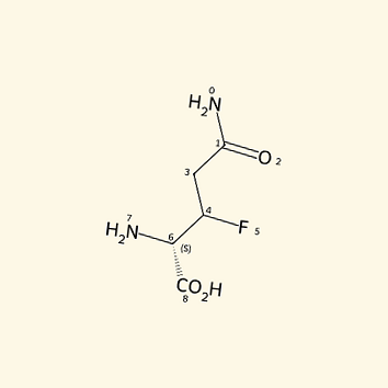 NC(=O)CC(F)[C@@H](N)C(=O)O